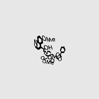 COC(=O)C[C@@H]1CN(C[C@@H](O)c2ccnc3ccc(OC)cc23)CC[C@@]12CN(C1=COC=C(C3=CC=CCC3)O1)C(=O)O2